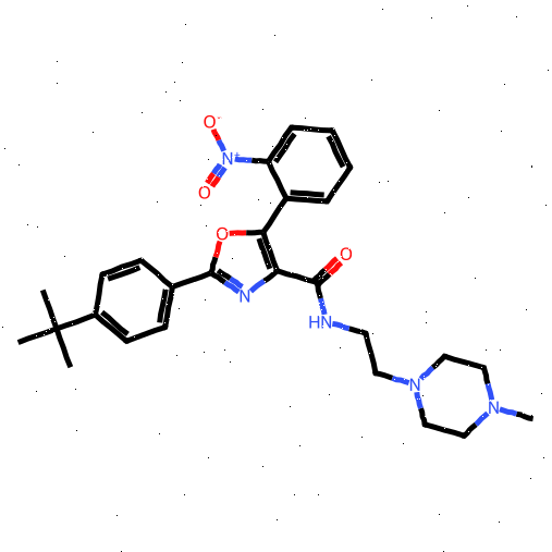 CN1CCN(CCNC(=O)c2nc(-c3ccc(C(C)(C)C)cc3)oc2-c2ccccc2[N+](=O)[O-])CC1